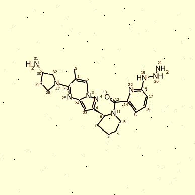 Cc1cn2nc([C@@H]3CCCCN3C(=O)c3cccc(NNN)n3)cc2nc1N1CC[C@H](N)C1